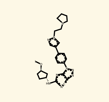 IO[C@@H]1CC[C@@H](Nc2ncc3nnn(-c4ccc(-c5cnn(CCN6CCCC6)c5)cc4)c3n2)C1